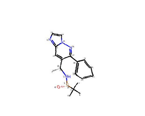 C[C@@H](N[S@@+]([O-])C(C)(C)C)c1cc2nccn2nc1-c1ccccc1